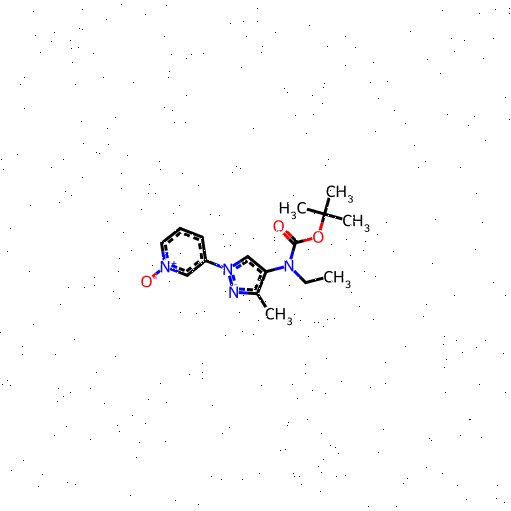 CCN(C(=O)OC(C)(C)C)c1cn(-c2ccc[n+]([O-])c2)nc1C